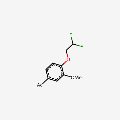 COc1cc(C(C)=O)ccc1OCC(F)F